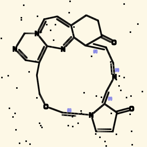 O=C1CCC2=CC=[N+]3CN=CC4=C3N=C2/C1=C/C=N\C=C1/C(=O)C=CN1/C=C/OCC4